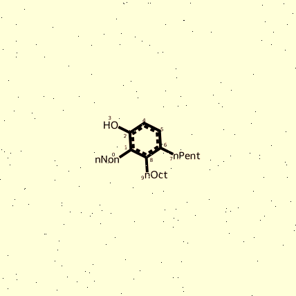 CCCCCCCCCc1c(O)ccc(CCCCC)c1CCCCCCCC